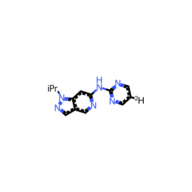 [2H]c1cnc(Nc2cc3c(cn2)cnn3C(C)C)nc1